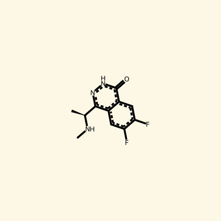 CN[C@@H](C)c1n[nH]c(=O)c2cc(F)c(F)cc12